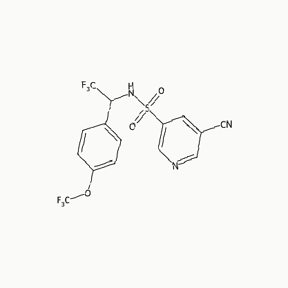 N#Cc1cncc(S(=O)(=O)NC(c2ccc(OC(F)(F)F)cc2)C(F)(F)F)c1